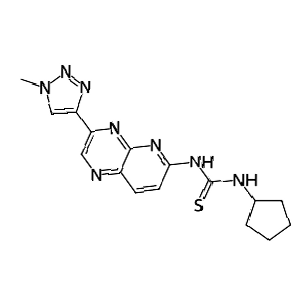 Cn1cc(-c2cnc3ccc(NC(=S)NC4CCCC4)nc3n2)nn1